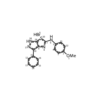 Br.COc1ccc(Nc2nc3c(-c4ccccc4)n[nH]c3s2)cc1